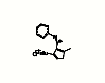 CCCCC1=CCC(C)=[C]1[V+2]=[N]c1ccccc1.[Cl-].[Cl-]